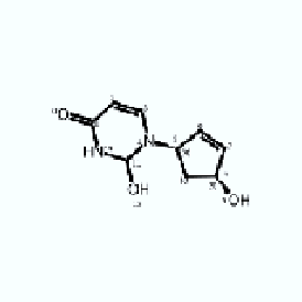 O=C1C=CN([C@H]2C=C[C@@H](O)C2)C(O)N1